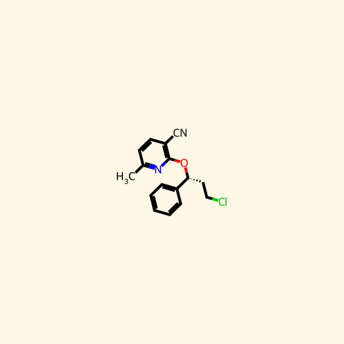 Cc1ccc(C#N)c(O[C@H](CCCl)c2ccccc2)n1